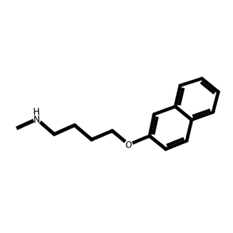 CNCCCCOc1ccc2ccccc2c1